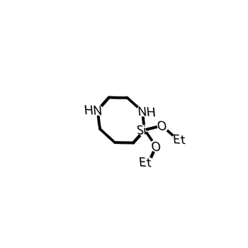 CCO[Si]1(OCC)CCCNCCN1